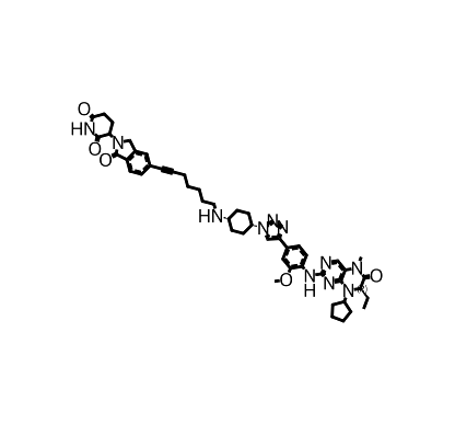 CC[C@@H]1C(=O)N(C)c2cnc(Nc3ccc(-c4cn([C@H]5CC[C@@H](NCCCCCC#Cc6ccc7c(c6)CN(C6CCC(=O)NC6=O)C7=O)CC5)nn4)cc3OC)nc2N1C1CCCC1